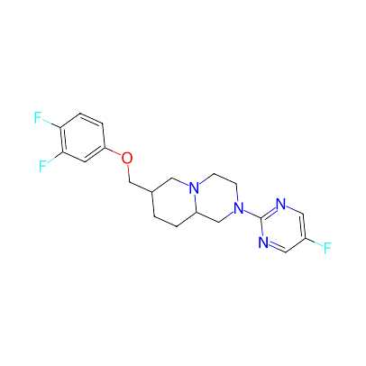 Fc1cnc(N2CCN3CC(COc4ccc(F)c(F)c4)CCC3C2)nc1